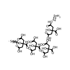 O=C(O)CC(O)(CC(=O)O)C(=O)O.O=C(O)CC(O)(CC(=O)O)C(=O)O.O=C(O)CC(O)(CC(=O)O)C(=O)O.O=C(O)CC(O)(CC(=O)O)C(=O)O.[Fe].[Fe].[Fe].[SnH2].[SnH2].[SnH2]